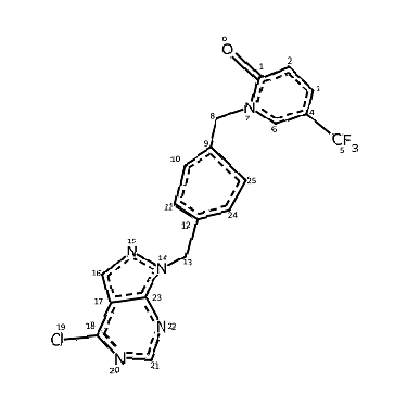 O=c1ccc(C(F)(F)F)cn1Cc1ccc(Cn2ncc3c(Cl)ncnc32)cc1